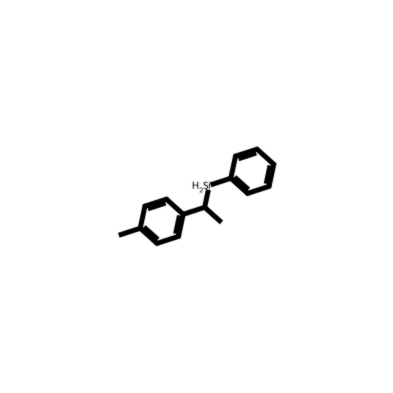 Cc1ccc(C(C)[SiH2]c2ccccc2)cc1